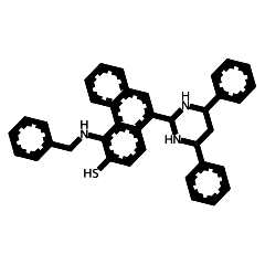 Sc1ccc2c(C3NC(c4ccccc4)CC(c4ccccc4)N3)cc3ccccc3c2c1NCc1ccccc1